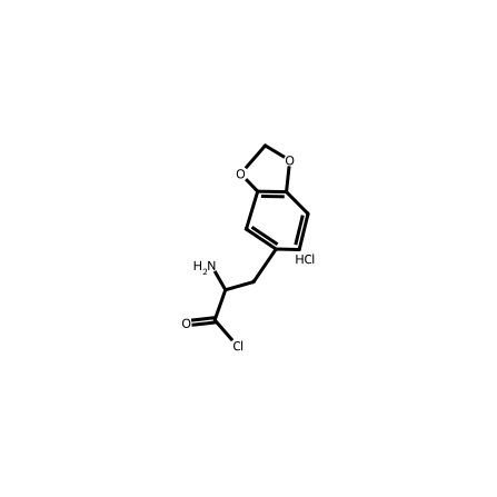 Cl.NC(Cc1ccc2c(c1)OCO2)C(=O)Cl